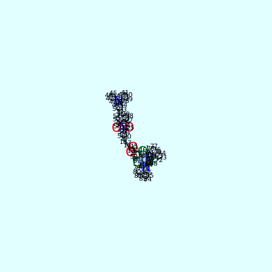 C[C@@H]1N=C2C(=C/C1=C(\c1c(Cl)cc(OC(=O)CCCc3ccc(N4C(=O)c5cccc6c(-c7ccc(N(c8ccccc8)c8ccccc8)cc7)ccc(c56)C4=O)cc3)cc1Cl)c1cc3c(n1B(F)F)-c1ccccc1CCC3)CCCc1ccccc12